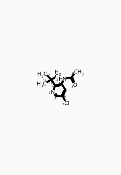 CC(=O)Nc1cc(Cl)cnc1C(C)(C)C